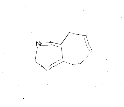 [C]1=C2CC=CCC2=NC1